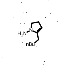 CCCCCC1=CCCN1N